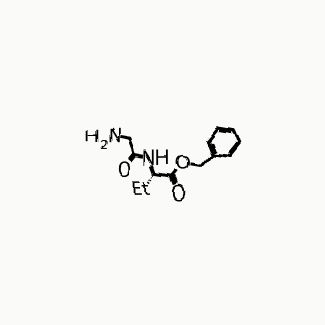 CC[C@H](NC(=O)CN)C(=O)OCc1ccccc1